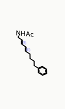 CC(=O)NC/C=C/C=C/CCCCc1ccccc1